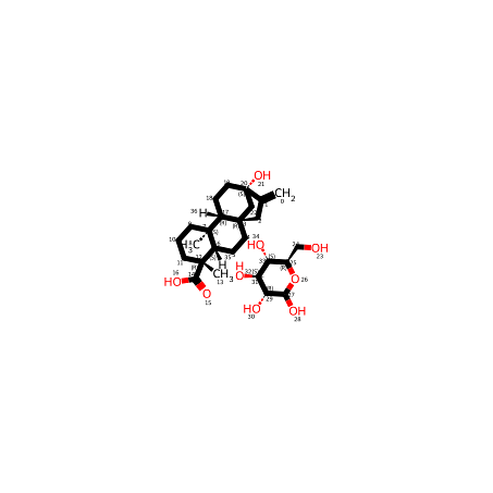 C=C1C[C@@]23CC[C@H]4[C@@](C)(CCC[C@@]4(C)C(=O)O)[C@@H]2CC[C@]1(O)C3.OC[C@H]1OC(O)[C@H](O)[C@@H](O)[C@@H]1O